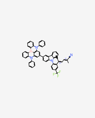 C#C/C(=C\C=C(/C)C#N)c1cc(C(F)(F)F)ccc1-n1c2ccccc2c2cc(-c3cc4c5c(c3)N(c3ccccc3)c3ccccc3B5c3ccccc3N4c3ccccc3)ccc21